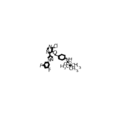 CC(C)(C)OC(=O)N[C@H]1CC[C@@H](COc2c(Cl)ncnc2-c2cnn(-c3cc(F)cc(F)c3)c2)CC1